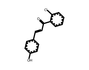 O=C(C=Cc1ccc(O)cc1)c1ccccc1Cl